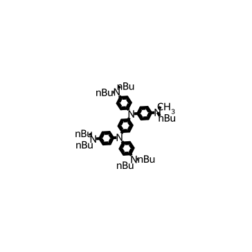 CCCCN(C)c1ccc(N(c2ccc(N(CCCC)CCCC)cc2)c2ccc(N(c3ccc(N(CCCC)CCCC)cc3)c3ccc(N(CCCC)CCCC)cc3)cc2)cc1